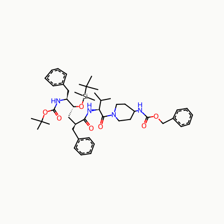 CC(C)[C@H](NC(=O)[C@@H](Cc1ccccc1)C[C@@H](O[Si](C)(C)C(C)(C)C)[C@H](Cc1ccccc1)NC(=O)OC(C)(C)C)C(=O)N1CCC(NC(=O)OCc2ccccc2)CC1